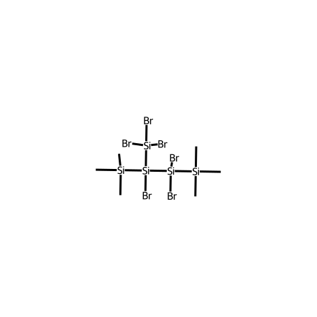 C[Si](C)(C)[Si](Br)(Br)[Si](Br)([Si](C)(C)C)[Si](Br)(Br)Br